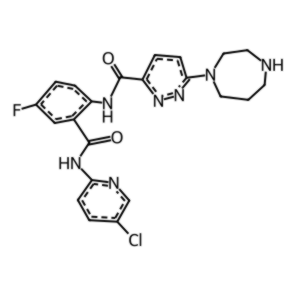 O=C(Nc1ccc(F)cc1C(=O)Nc1ccc(Cl)cn1)c1ccc(N2CCCNCC2)nn1